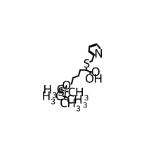 CC(C)(C)[Si](C)(C)OCCCCC(SCc1ccccn1)C(=O)O